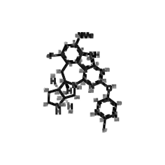 CNc1cc(F)c2c3c1[nH]c1nc(Oc4cnc(C)nc4)nc(c13)N1C[C@H]3NCC[C@H]3[C@@H]1C2